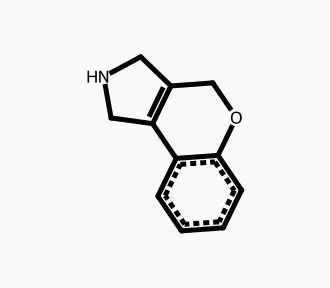 c1ccc2c(c1)OCC1=C2CNC1